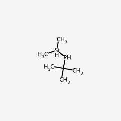 C[SiH](C)PC(C)(C)C